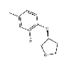 Cc1ccc(O[C@H]2CCOC2)c(F)c1